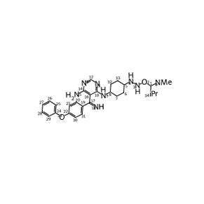 CNC(ONNC1CCC(Nc2ncnc(N)c2C(=N)c2ccc(Oc3ccccc3)cc2)CC1)C(C)C